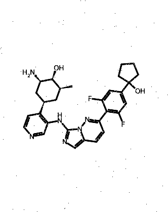 C[C@H]1C[C@@H](c2ccncc2Nc2ncc3ccc(-c4c(F)cc(C5(O)CCCC5)cc4F)nn23)C[C@@H](N)[C@H]1O